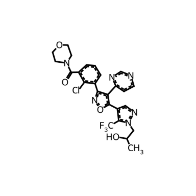 CC(O)Cn1ncc(-c2onc(-c3cccc(C(=O)N4CCOCC4)c3Cl)c2-c2ccncn2)c1C(F)(F)F